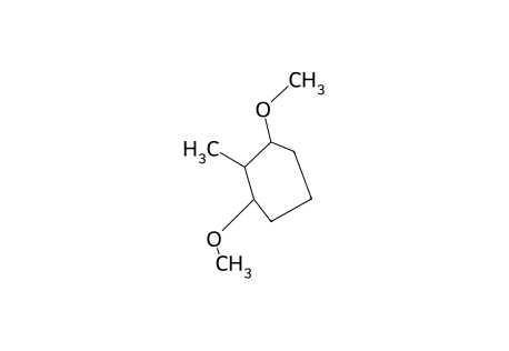 COC1CCCC(OC)C1C